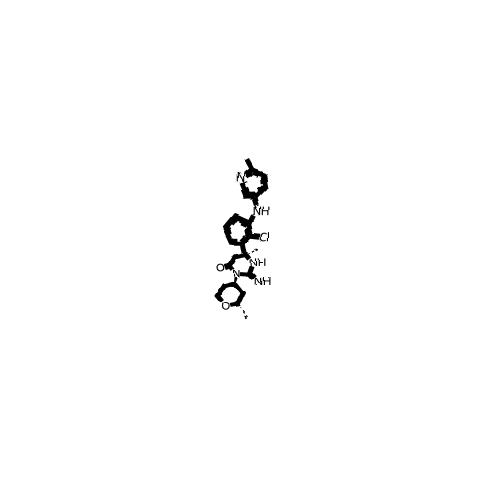 Cc1ccc(Nc2cccc([C@]3(C)CC(=O)N([C@@H]4CCO[C@@H](C)C4)C(=N)N3)c2Cl)cn1